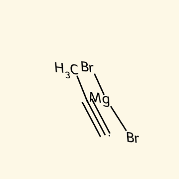 [Br][Mg][Br].[C]#CC